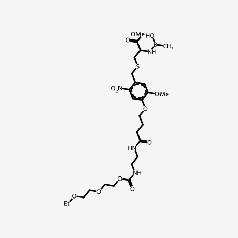 CCOCCOCCOC(=O)NCCNC(=O)CCCOc1cc([N+](=O)[O-])c(CSCC(NB(C)O)C(=O)OC)cc1OC